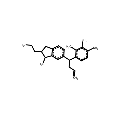 C=CCC(c1ccc2c(c1)C(C)C(CCC)C2)c1ccc(N)c(N)c1C